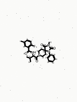 Cc1ccc(F)c(C(=O)N[C@@H](C(=O)N2CCC3(CC2)C(=O)N(C)C(=O)N3c2ccccc2)C(C)C)c1